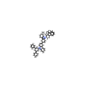 CC1(C)C2=C(CCC(n3c4c(c5c3CCCC5)CC(C3=CC=C5C(C3)C3C=CC=CC3N5C3C=C(c5ccccc5)CC(C5C=CC=CC5)C3)C=C4)=C2)c2ccccc21